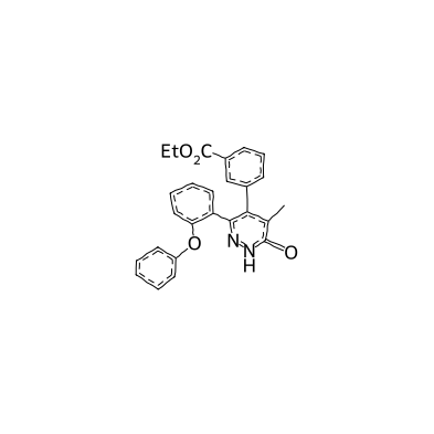 CCOC(=O)c1cccc(-c2c(-c3ccccc3Oc3ccccc3)n[nH]c(=O)c2C)c1